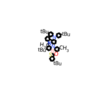 Cc1cc2c3c(c1)N(c1ccc(N(c4ccc(C(C)(C)C)cc4)c4ccc(C(C)(C)C)cc4)c4c5ccccc5n(C)c14)c1ccc(C(C)(C)C)cc1B3c1sc3ccc(C(C)(C)C)cc3c1O2